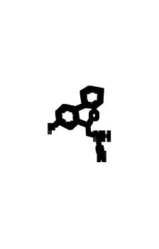 N#CNCC1Oc2ccccc2-c2ccc(F)cc21